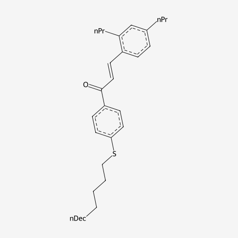 CCCCCCCCCCCCCCSc1ccc(C(=O)C=Cc2ccc(CCC)cc2CCC)cc1